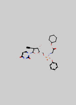 C#C[C@]1(O)C(n2ccc(=O)[nH]c2=O)O[C@H](COP(=O)(N[C@@H](C)C(=O)OC2CCCCC2)Oc2ccccc2)[C@H]1O